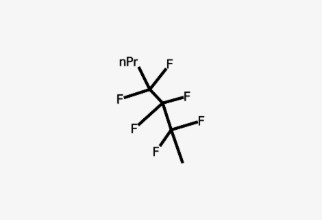 [CH2]CCC(F)(F)C(F)(F)C(C)(F)F